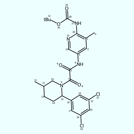 Cc1cc(NC(=O)C(=O)N2CC(C)CCC2c2cc(Cl)cc(Cl)c2)cnc1NC(=O)OC(C)(C)C